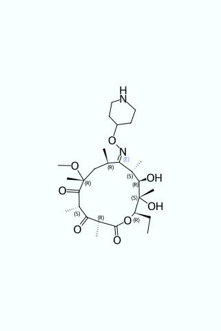 CC[C@H]1OC(=O)[C@H](C)C(=O)[C@H](C)C(=O)[C@](C)(OC)C[C@@H](C)/C(=N\OC2CCNCC2)[C@H](C)[C@@H](O)[C@]1(C)O